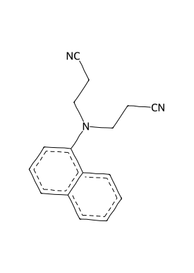 N#CCCN(CCC#N)c1cccc2ccccc12